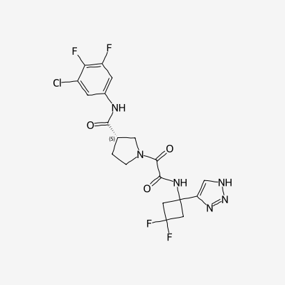 O=C(NC1(c2c[nH]nn2)CC(F)(F)C1)C(=O)N1CC[C@H](C(=O)Nc2cc(F)c(F)c(Cl)c2)C1